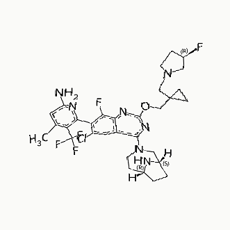 Cc1cc(N)nc(-c2c(Cl)cc3c(N4CC[C@H]5CC[C@@H](C4)N5)nc(OCC4(CN5CC[C@@H](F)C5)CC4)nc3c2F)c1C(F)(F)F